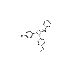 COc1ccc(N2/C(=N/c3ccccc3)CC2c2ccc(F)cc2)cc1